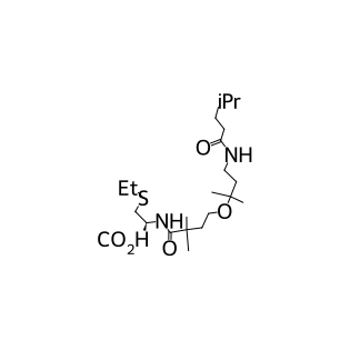 CCSC[C@@H](NC(=O)C(C)(C)CCOC(C)(C)CCNC(=O)CCC(C)C)C(=O)O